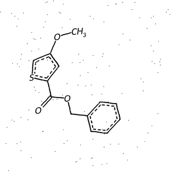 COc1csc(C(=O)OCc2ccccc2)c1